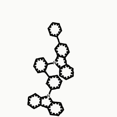 c1ccc(-c2ccc3c4ccccc4n(-c4ccccc4-c4cccc(-n5c6ccccc6c6ccccc65)c4)c3c2)cc1